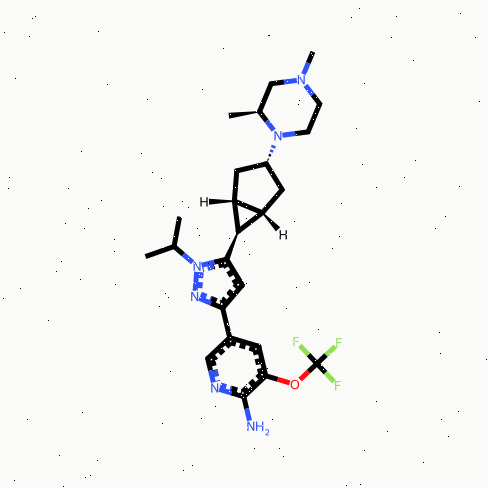 CC(C)n1nc(-c2cnc(N)c(OC(F)(F)F)c2)cc1[C@H]1[C@@H]2C[C@H](N3CCN(C)C[C@@H]3C)C[C@@H]21